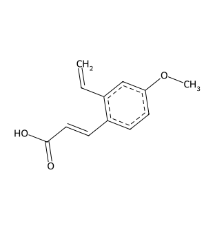 C=Cc1cc(OC)ccc1/C=C/C(=O)O